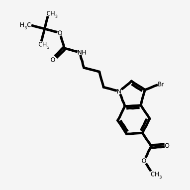 COC(=O)c1ccc2c(c1)c(Br)cn2CCCNC(=O)OC(C)(C)C